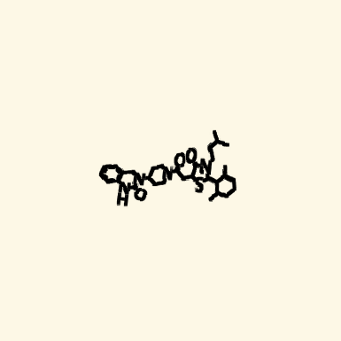 CC1=CCCC(C)C1C1SC(CC(=O)N2CCC(N3Cc4ccccc4NC3=O)CC2)C(=O)N1CCC(C)C